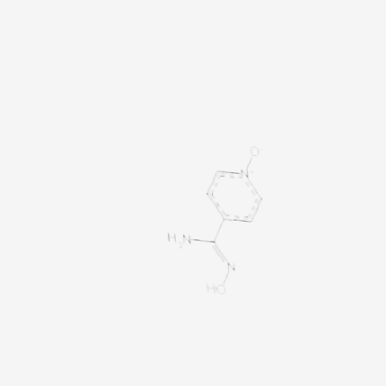 NC(=NO)c1cc[n+]([O-])cc1